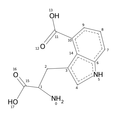 NC(Cc1c[nH]c2cccc(C(=O)O)c12)C(=O)O